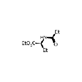 CCOC(=O)[C@H](CC)NC(=O)CC